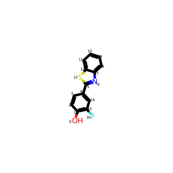 Oc1ccc(-c2nc3ccccc3s2)cc1F